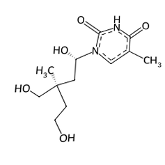 Cc1cn([C@@H](O)C[C@](C)(CO)CCO)c(=O)[nH]c1=O